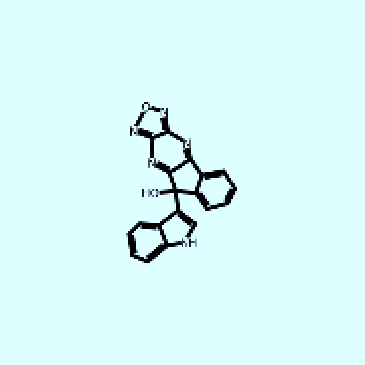 OC1(c2c[nH]c3ccccc23)c2ccccc2-c2nc3nonc3nc21